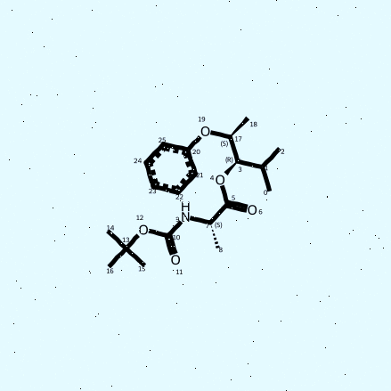 CC(C)[C@@H](OC(=O)[C@H](C)NC(=O)OC(C)(C)C)[C@H](C)Oc1ccccc1